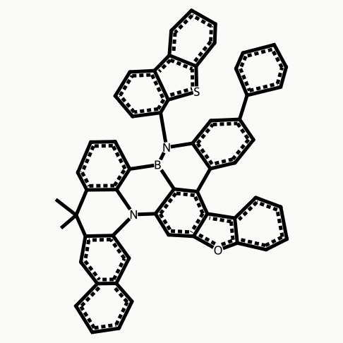 CC1(C)c2cc3ccccc3cc2N2c3cc4oc5ccccc5c4c4c3B(c3cccc1c32)N(c1cccc2c1sc1ccccc12)c1cc(-c2ccccc2)ccc1-4